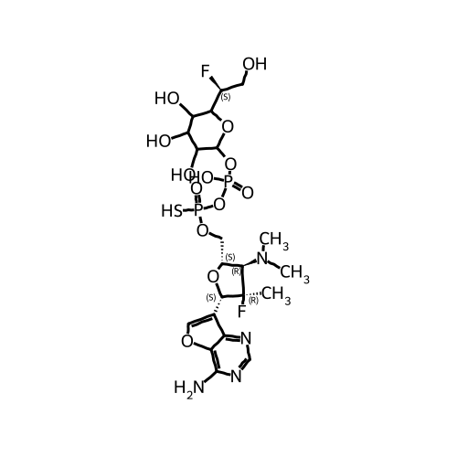 CN(C)[C@@H]1[C@@H](COP(=O)(S)OP(=O)(O)OC2OC([C@@H](F)CO)C(O)C(O)C2O)O[C@@H](c2coc3c(N)ncnc23)[C@]1(C)F